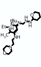 CCSC(C)/C(=C\C(=N/CNNC1CCCCO1)NC(C)(C)C)NCCN1CCOCC1